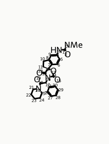 CNC(=O)Nc1ccc2c(c1)CC[C@]21OC(=O)N(CC(=O)N2CCCC[C@H]2c2ccccc2)C1=O